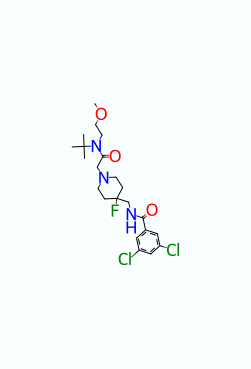 COCCN(C(=O)CN1CCC(F)(CNC(=O)c2cc(Cl)cc(Cl)c2)CC1)C(C)(C)C